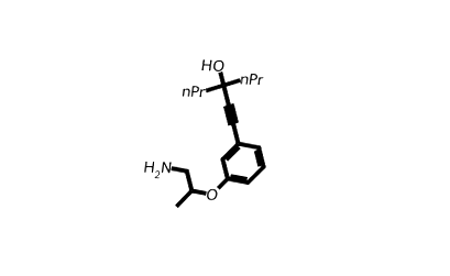 CCCC(O)(C#Cc1cccc(OC(C)CN)c1)CCC